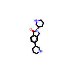 O=C1c2ccc(C3CCCNC3)cc2CN1C1CCCNC1